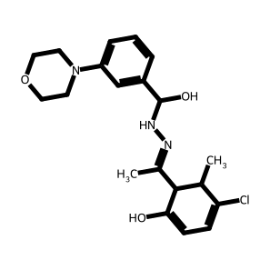 C/C(=N\NC(O)c1cccc(N2CCOCC2)c1)C1C(O)=CC=C(Cl)C1C